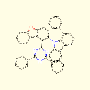 c1ccc(-c2nc(-c3ccccc3)nc(-c3c(-n4c5ccccc5c5cccc(-c6ccccc6)c54)ccc4oc5ccccc5c34)n2)cc1